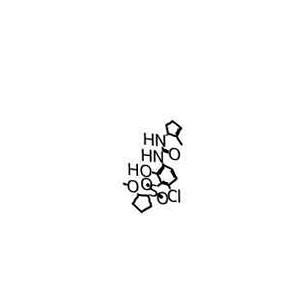 CO[C@@H]1CCC[C@H]1S(=O)(=O)c1c(Cl)ccc(NC(=O)N[C@@H]2CCC=C2C)c1O